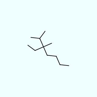 CCCCC(C)(CC)[C](C)C